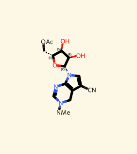 CNN1C=Nc2c(c(C#N)cn2[C@@H]2O[C@H](COC(C)=O)[C@@H](O)[C@H]2O)C1